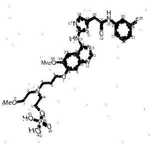 COCCN(CCCOc1cc2ncnc(Nc3ncc(CC(=O)Nc4cccc(F)c4)s3)c2cc1OC)CCOP(=O)(O)O